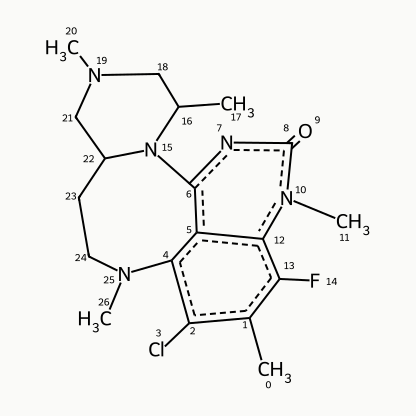 Cc1c(Cl)c2c3c(nc(=O)n(C)c3c1F)N1C(C)CN(C)CC1CCN2C